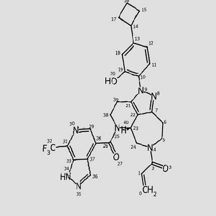 C=CC(=O)N1CCc2nn(-c3ccc(C4CCC4)cc3O)c3c2[C@H](C1)N(C(=O)c1cnc(C(F)(F)F)c2[nH]ncc12)CC3